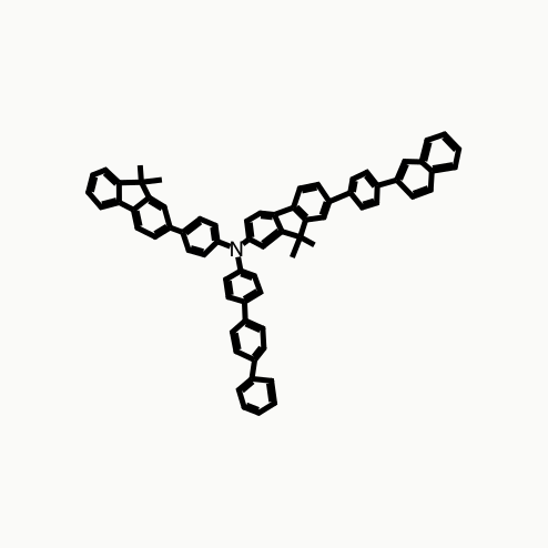 CC1(C)c2ccccc2-c2ccc(-c3ccc(N(c4ccc(-c5ccc(-c6ccccc6)cc5)cc4)c4ccc5c(c4)C(C)(C)c4cc(-c6ccc(-c7ccc8ccccc8c7)cc6)ccc4-5)cc3)cc21